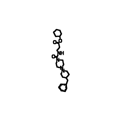 O=C(CCNC(=O)N1CCN(N2CCC(Cc3ccccc3)CC2)CC1)OC1CCCCC1